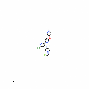 CN1CCC(Oc2ccc(-c3cnc(Cl)cc3NC3CCN(CC(F)F)CC3)nc2)CC1